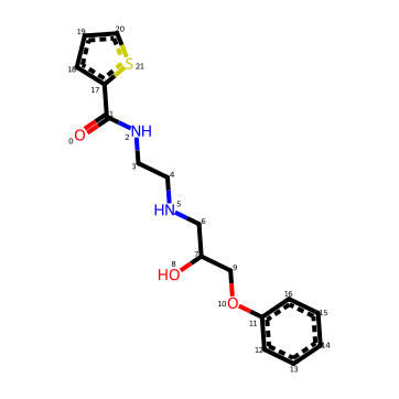 O=C(NCCNCC(O)COc1ccccc1)c1cccs1